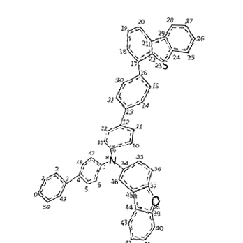 c1ccc(-c2ccc(N(c3ccc(-c4ccc(-c5cccc6c5sc5ccccc56)cc4)cc3)c3ccc4oc5ccccc5c4c3)cc2)cc1